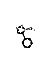 Cn1nncc1-c1ccccc1